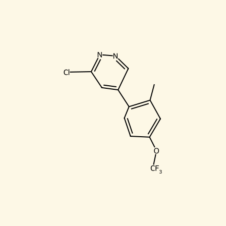 Cc1cc(OC(F)(F)F)ccc1-c1cnnc(Cl)c1